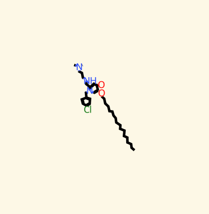 CCCCCCCCCCCCCCCCCCOc1cn(Cc2ccc(Cl)cc2)c(CNCCCN(C)C)cc1=O